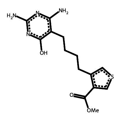 COC(=O)c1cscc1CCCCc1c(N)nc(N)nc1O